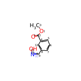 COC(=O)c1cccc(/C=N\O)c1